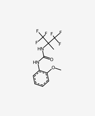 COc1ccccc1NC(=O)NC(C)(C(F)(F)F)C(F)(F)F